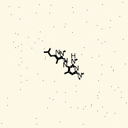 CNc1nc(N(C)C)cc(C)c1N=Nc1c(C)c(CC(C)C)nn1C